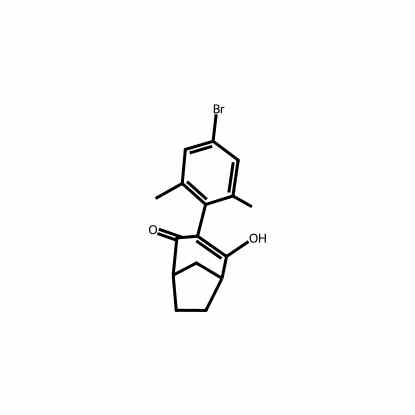 Cc1cc(Br)cc(C)c1C1=C(O)C2CCC(C2)C1=O